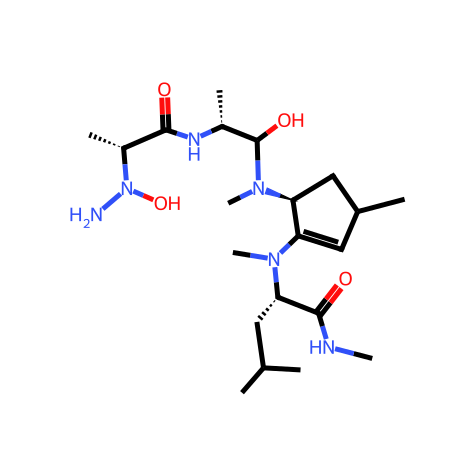 CNC(=O)[C@H](CC(C)C)N(C)C1=CC(C)C[C@@H]1N(C)C(O)[C@@H](C)NC(=O)[C@@H](C)N(N)O